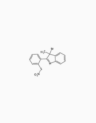 CC1(Br)C(c2ccccc2S[N+](=O)[O-])=Nc2ccccc21